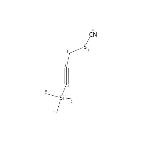 C[Si](C)(C)C#CCSC#N